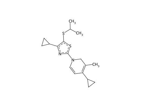 CC1=C(C2CC2)C=CN(c2nc(C3CC3)c(SC(C)C)s2)C1